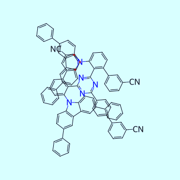 N#Cc1cccc(-c2ccc(-c3nc(-c4c(-c5cccc(C#N)c5)cccc4-n4c5ccc(-c6ccccc6)cc5c5cc(-c6ccccc6)ccc54)nc(-c4c(-c5cccc(C#N)c5)cccc4-n4c5ccc(-c6ccccc6)cc5c5cc(-c6ccccc6)ccc54)n3)cc2)c1